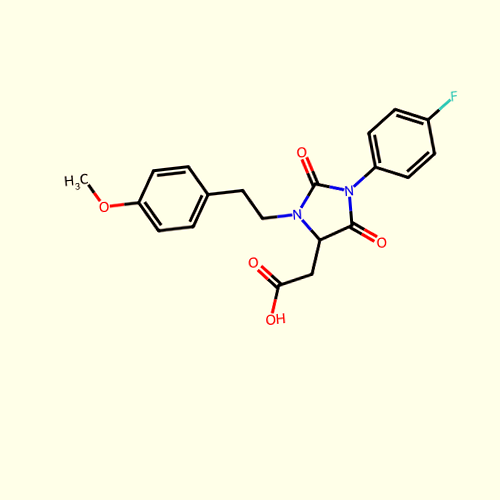 COc1ccc(CCN2C(=O)N(c3ccc(F)cc3)C(=O)C2CC(=O)O)cc1